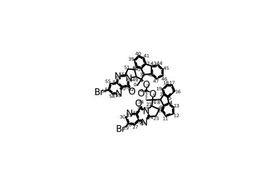 CC(OC(=O)OC(C)(C1c2ccccc2-c2ccccc21)C1CCc2nc3cc(Br)cnc3c(=O)n21)(C1c2ccccc2-c2ccccc21)C1CCc2nc3cc(Br)cnc3c(=O)n21